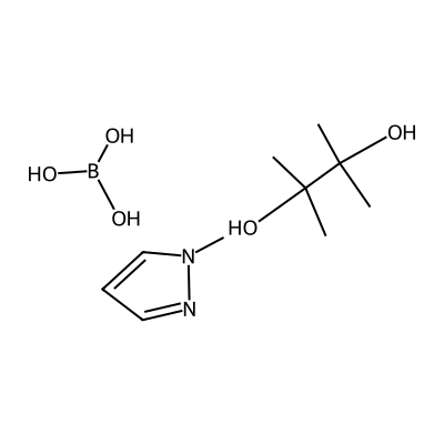 CC(C)(O)C(C)(C)O.Cn1cccn1.OB(O)O